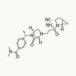 C[C@H](c1ccc(C(=O)N(C)C)cc1)N1C(=O)[C@@H]2C[C@H]1CN2C[C@H](N)C(=O)N1[C@H](C#N)CC2C[C@@H]21